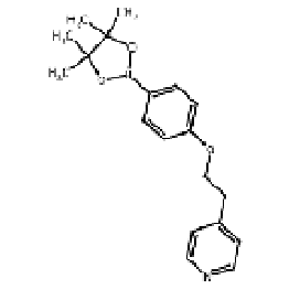 CC1(C)OB(c2ccc(OCCc3ccncc3)cc2)OC1(C)C